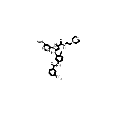 CNc1cc(-n2nc(C(=O)NCCN3CCOCC3)cc2Nc2cc(NC(=O)c3cccc(C(F)(F)F)c3)ccc2C)ncn1